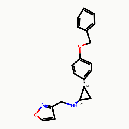 c1ccc(COc2ccc([C@@H]3C[C@H]3NCc3ccon3)cc2)cc1